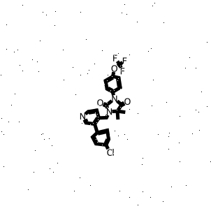 CC1(C)C(=O)N(c2ccc(OC(F)(F)F)cc2)C(=O)N1Cc1ccncc1-c1ccc(Cl)cc1